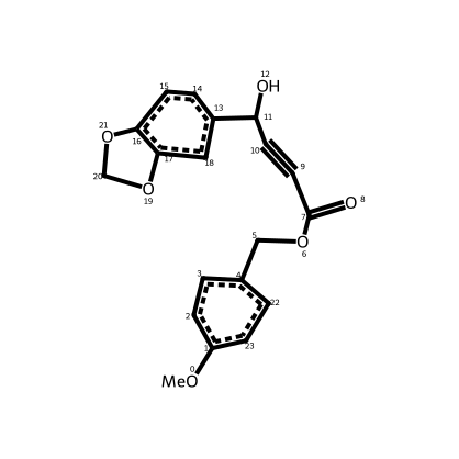 COc1ccc(COC(=O)C#CC(O)c2ccc3c(c2)OCO3)cc1